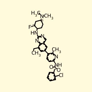 CCc1cc(-c2ccc(NS(=O)(=O)c3ccccc3Cl)nc2C)cc2cnc(NC3CC[C@@H](N(C)C)C[C@@H]3F)nc12